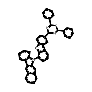 c1ccc(C2=NC(c3ccc4oc5c(-n6c7ccccc7c7cc8ccccc8cc76)cccc5c4c3)=NC(c3ccccc3)S2)cc1